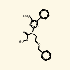 CCOC(=O)c1nc(N(CCOCc2ccccc2)C(=O)OC(C)(C)C)sc1-c1ccccc1